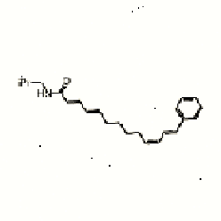 CC(C)CNC(=O)/C=C/C=C/CCCC/C=C\C=C\c1ccccc1